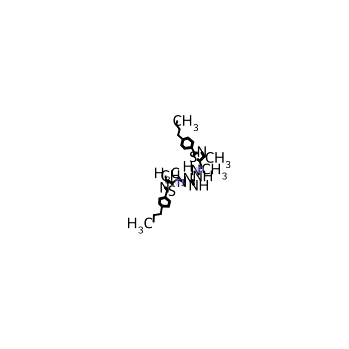 CCCCc1ccc(-c2nc(C)c(/C(C)=N/NC(=N)N/N=C(\C)c3sc(-c4ccc(CCCC)cc4)nc3C)s2)cc1